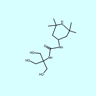 CC1(C)CC(NC(=O)NC(CO)(CO)CO)CC(C)(C)N1